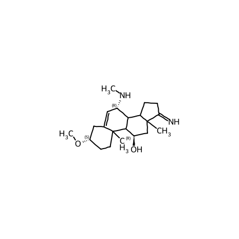 CN[C@H]1C=C2C[C@@H](OC)CCC2(C)C2C1C1CCC(=N)C1(C)C[C@H]2O